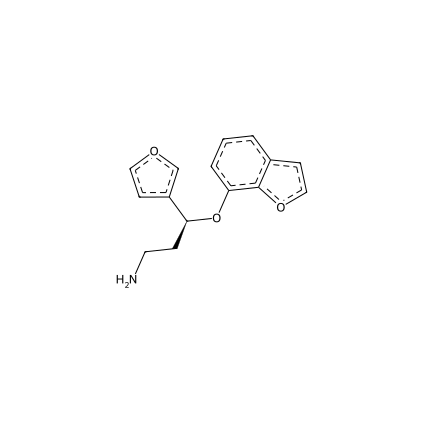 NCC[C@H](Oc1cccc2ccoc12)c1ccoc1